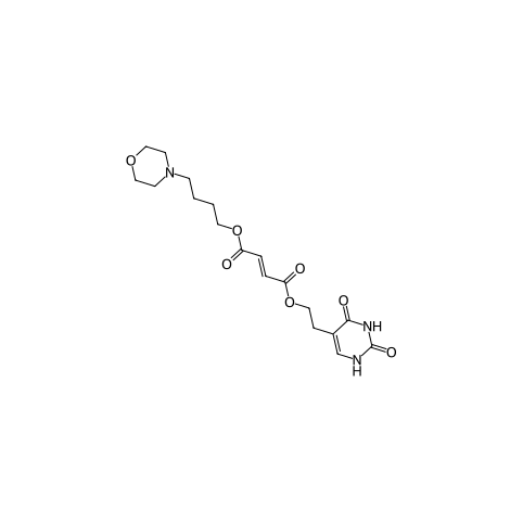 O=C(/C=C/C(=O)OCCc1c[nH]c(=O)[nH]c1=O)OCCCCN1CCOCC1